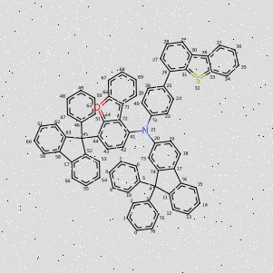 c1ccc(C2(c3ccccc3)c3ccccc3-c3ccc(N(c4ccc(-c5cccc6c5sc5ccccc56)cc4)c4ccc(C5(c6ccccc6)c6ccccc6-c6ccccc65)c5oc6ccccc6c45)cc32)cc1